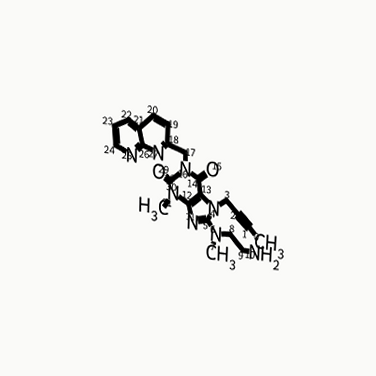 CC#CCn1c(N(C)CCN)nc2c1c(=O)n(Cc1ccc3cccnc3n1)c(=O)n2C